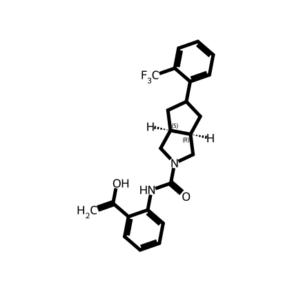 C=C(O)c1ccccc1NC(=O)N1C[C@H]2CC(c3ccccc3C(F)(F)F)C[C@H]2C1